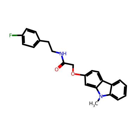 Cn1c2ccccc2c2ccc(OCC(=O)NCCc3ccc(F)cc3)cc21